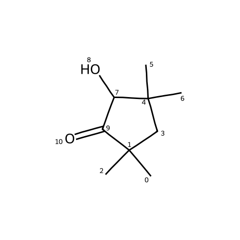 CC1(C)CC(C)(C)C(O)C1=O